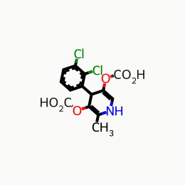 CC1=C(OC(=O)O)C(c2cccc(Cl)c2Cl)C(OC(=O)O)=CN1